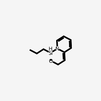 CCC[SiH]1OCC=C2C=CC=CN21